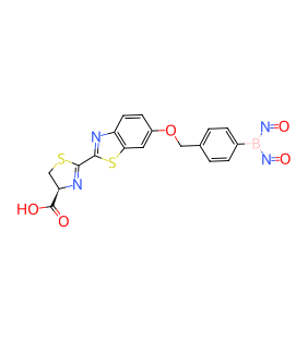 O=NB(N=O)c1ccc(COc2ccc3nc(C4=N[C@@H](C(=O)O)CS4)sc3c2)cc1